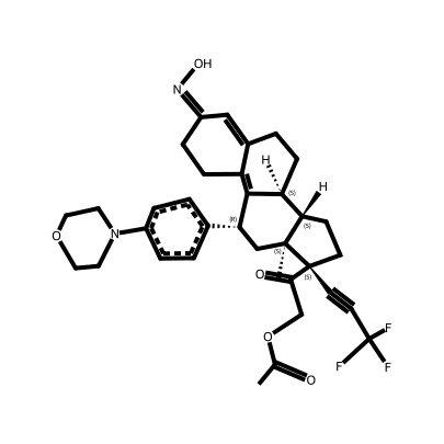 CC(=O)OCC(=O)[C@@]1(C#CC(F)(F)F)CC[C@H]2[C@@H]3CCC4=CC(=NO)CCC4=C3[C@@H](c3ccc(N4CCOCC4)cc3)C[C@@]21C